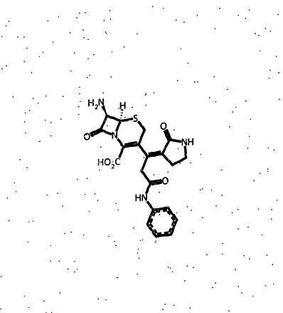 N[C@@H]1C(=O)N2C(C(=O)O)=C(C(CC(=O)Nc3ccccc3)=C3CCNC3=O)CS[C@H]12